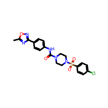 Cc1nc(-c2ccc(NC(=O)N3CCN(S(=O)(=O)c4ccc(Cl)cc4)CC3)cc2)no1